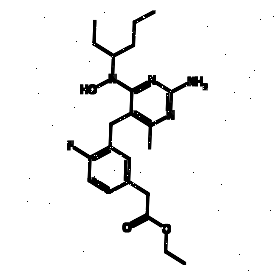 CCCC(CC)N(O)c1nc(N)nc(C)c1Cc1cc(CC(=O)OCC)ccc1F